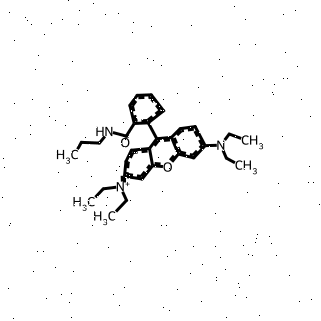 CCCNC(=O)c1ccccc1-c1c2ccc(=[N+](CC)CC)cc-2oc2cc(N(CC)CC)ccc12